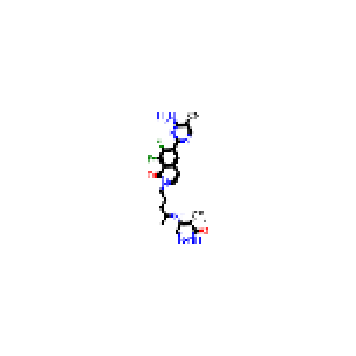 CC(CCCn1ccc2cc(-c3ncc(C#N)c(N)n3)c(F)c(F)c2c1=O)Nc1cn[nH]c(=O)c1C(F)(F)F